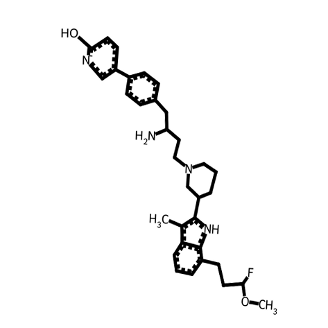 COC(F)CCc1cccc2c(C)c(C3CCCN(CCC(N)Cc4ccc(-c5ccc(O)nc5)cc4)C3)[nH]c12